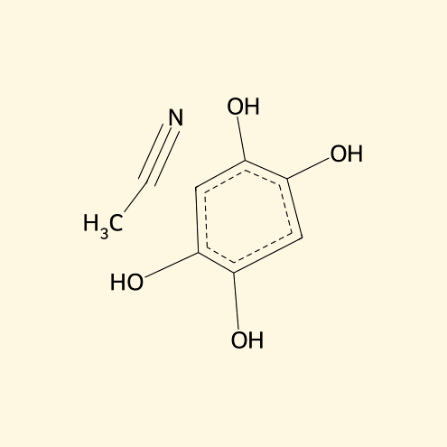 CC#N.Oc1cc(O)c(O)cc1O